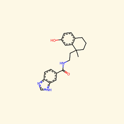 CC1(CCNC(=O)c2ccc3nc[nH]c3c2)CCCc2ccc(O)cc21